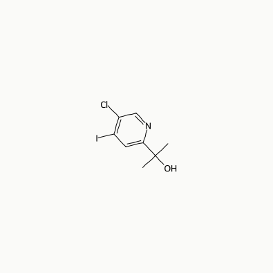 CC(C)(O)c1cc(I)c(Cl)cn1